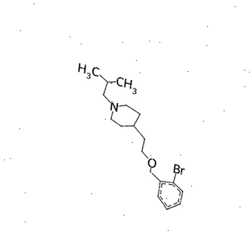 C[C](C)CN1CCC(CCOCc2ccccc2Br)CC1